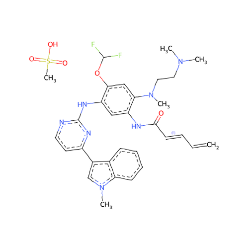 C=C/C=C/C(=O)Nc1cc(Nc2nccc(-c3cn(C)c4ccccc34)n2)c(OC(F)F)cc1N(C)CCN(C)C.CS(=O)(=O)O